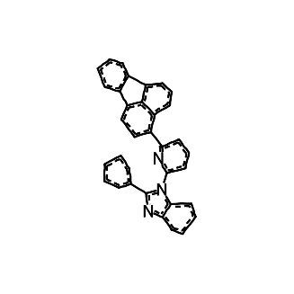 c1ccc(-c2nc3ccccc3n2-c2cccc(-c3ccc4c5c(cccc35)-c3ccccc3-4)n2)cc1